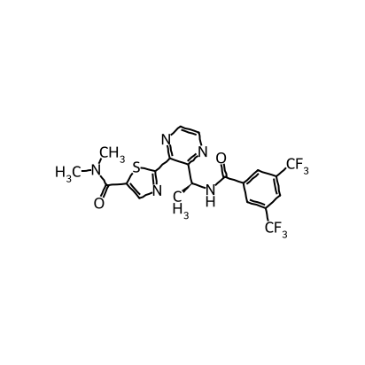 C[C@H](NC(=O)c1cc(C(F)(F)F)cc(C(F)(F)F)c1)c1nccnc1-c1ncc(C(=O)N(C)C)s1